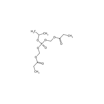 CCC(=O)OCOP(=O)(OCOC(=O)CC)OC(C)C